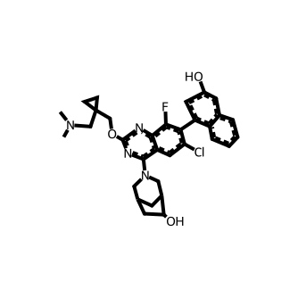 CN(C)CC1(COc2nc(N3CC4CC(O)C(C4)C3)c3cc(Cl)c(-c4cc(O)cc5ccccc45)c(F)c3n2)CC1